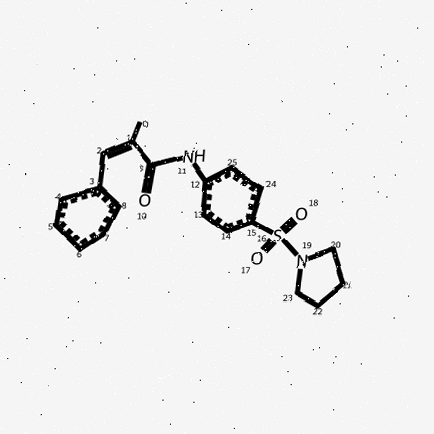 CC(=Cc1ccccc1)C(=O)Nc1ccc(S(=O)(=O)N2CCCC2)cc1